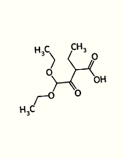 CCOC(OCC)C(=O)C(CC)C(=O)O